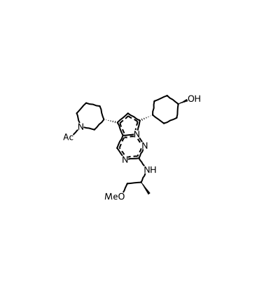 COC[C@H](C)Nc1ncc2c([C@H]3CCCN(C(C)=O)C3)cc([C@H]3CC[C@H](O)CC3)n2n1